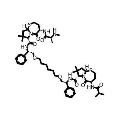 CN[C@@H](C)C(=O)N[C@H]1CCS[C@H]2CC(C)(C)[C@@H](C(=O)N[C@H](COCCCCCCOC[C@@H](NC(=O)[C@H]3N4C(=O)[C@@H](NC(=O)C(C)C)CCS[C@H]4CC3(C)C)c3ccccc3)c3ccccc3)N2C1=O